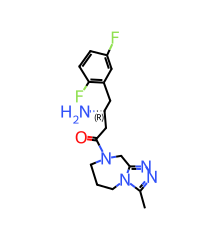 Cc1nnc2n1CCCN(C(=O)C[C@H](N)Cc1cc(F)ccc1F)C2